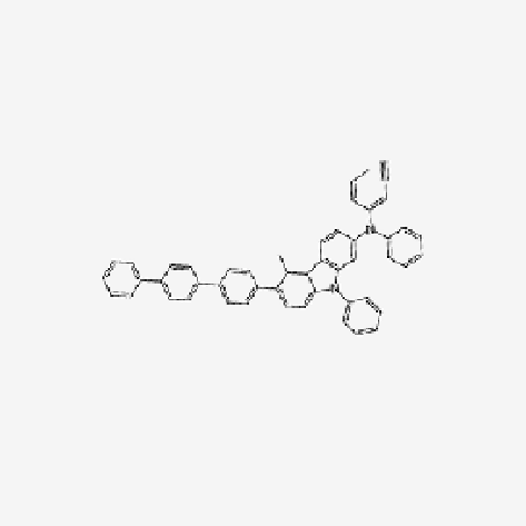 C#C/C=C(\C=C/C)N(c1ccccc1)c1ccc2c(c1)N(c1ccccc1)C1=CC=C(c3ccc(-c4ccc(-c5ccccc5)cc4)cc3)C(C)C12